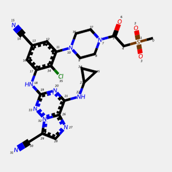 CS(=O)(=O)CC(=O)N1CCN(c2cc(C#N)cc(Nc3nc(NC4CC4)c4ncc(C#N)n4n3)c2Cl)CC1